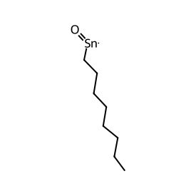 CCCCCCC[CH2][Sn]=[O]